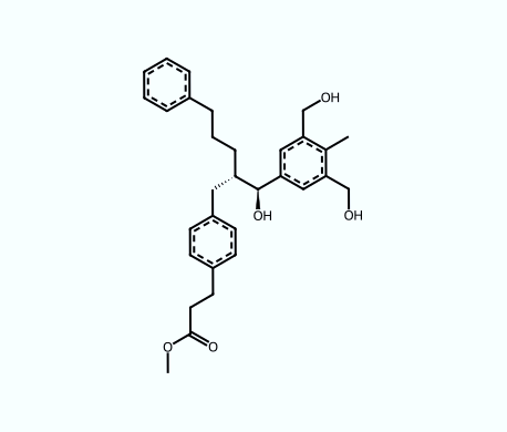 COC(=O)CCc1ccc(C[C@H](CCCc2ccccc2)[C@H](O)c2cc(CO)c(C)c(CO)c2)cc1